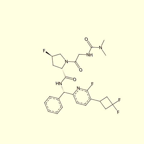 CN(C)C(=O)NCC(=O)N1C[C@H](F)C[C@H]1C(=O)N[C@@H](c1ccccc1)c1ccc(C2CC(F)(F)C2)c(F)n1